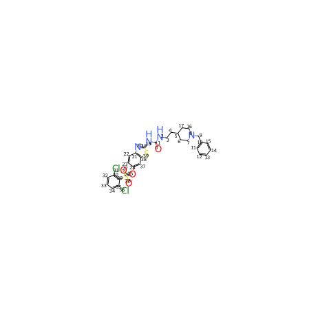 O=C(NCCC1CCN(Cc2ccccc2)CC1)Nc1nc2ccc(OS(=O)(=O)c3c(Cl)cccc3Cl)cc2s1